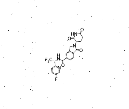 O=C1CCC(N2Cc3cc(C(=O)N[C@H](c4ccc(F)cn4)C(F)(F)F)ccc3C2=O)C(=O)N1